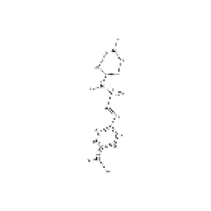 CN1CCC(N(C)C(=O)/C=C/c2ccc(N(C)C)cc2)CC1